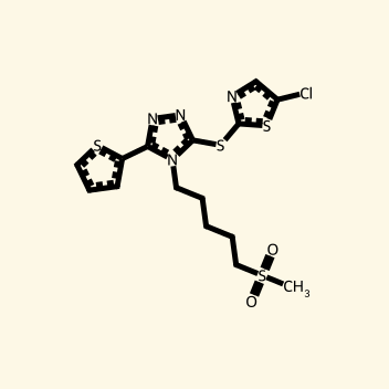 CS(=O)(=O)CCCCCn1c(Sc2ncc(Cl)s2)nnc1-c1cccs1